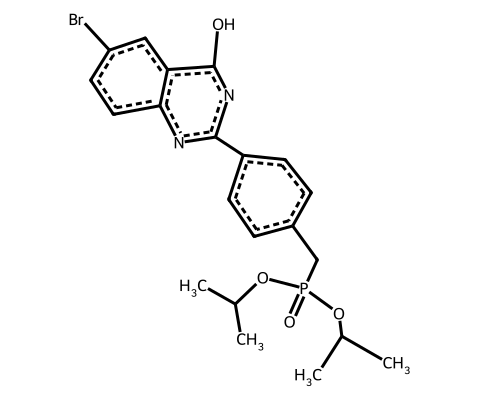 CC(C)OP(=O)(Cc1ccc(-c2nc(O)c3cc(Br)ccc3n2)cc1)OC(C)C